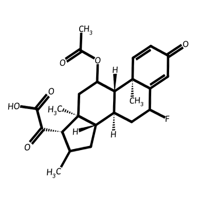 CC(=O)OC1C[C@]2(C)[C@@H](C(=O)C(=O)O)C(C)C[C@H]2[C@@H]2CC(F)C3=CC(=O)C=C[C@]3(C)[C@@H]12